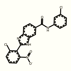 O=C(Nc1cccc(Cl)c1)c1ccc2nc(-c3c(Cl)cccc3[N+](=O)[O-])[nH]c2c1